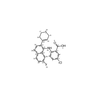 O=C(O)c1cc(Cl)ccc1Nc1c(C2=CCSCC2)cnc2ccc(F)cc12